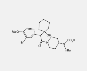 CCCCN(C(=O)O)C1CCN(C(=O)C(c2ccc(OC)c(Br)c2)C2(O)CCCCC2)CC1